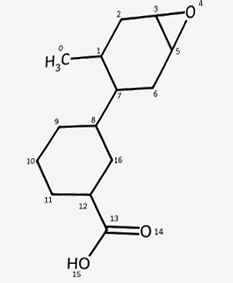 CC1CC2OC2CC1C1CCCC(C(=O)O)C1